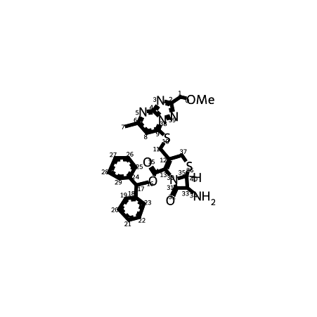 COCc1nc2nc(C)cc(SCC3=C(C(=O)OC(c4ccccc4)c4ccccc4)N4C(=O)C(N)[C@@H]4SC3)n2n1